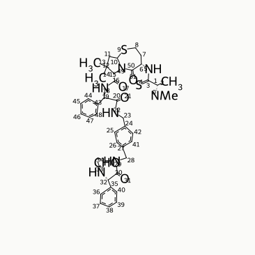 CN[C@@H](C)C(=S)N[C@H]1CCSC2CC(C)(C)[C@@H](C(=O)N[C@@H](C(=O)NCc3ccc(CNC(=O)[C@@H](NC=O)c4ccccc4)cc3)c3ccccc3)N2C1=O